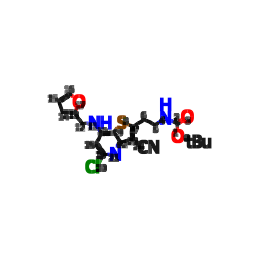 CC(C)(C)OC(=O)NCCc1sc2c(NCc3ccco3)cc(Cl)nc2c1C#N